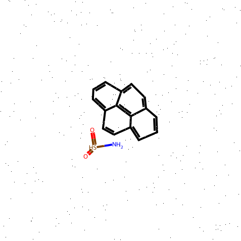 N[SH](=O)=O.c1cc2ccc3cccc4ccc(c1)c2c34